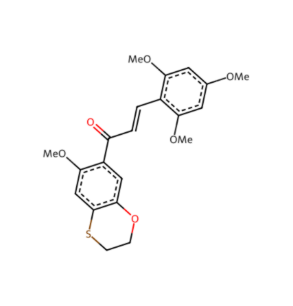 COc1cc(OC)c(/C=C/C(=O)c2cc3c(cc2OC)SCCO3)c(OC)c1